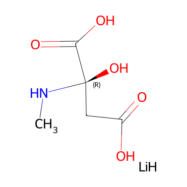 CN[C@@](O)(CC(=O)O)C(=O)O.[LiH]